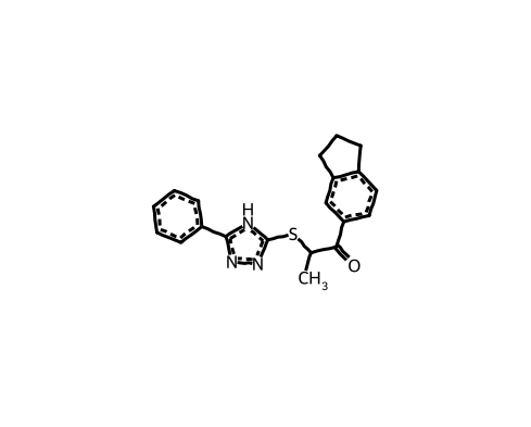 CC(Sc1nnc(-c2ccccc2)[nH]1)C(=O)c1ccc2c(c1)CCC2